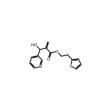 C=C(C(=O)OCCc1cccs1)C(O)c1cccnc1